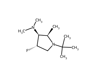 C[C@@H]1[C@H](N(C)C)[C@@H](F)CN1C(C)(C)C